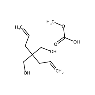 C=CCC(CO)(CO)CC=C.COC(=O)O